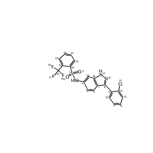 O=S(=O)(Nc1ccc2c(-c3ccccc3Cl)n[nH]c2c1)c1ccccc1C(F)(F)F